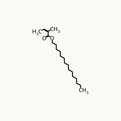 CC=C(C)C(=O)OCCCCCCCCCCCCCCC